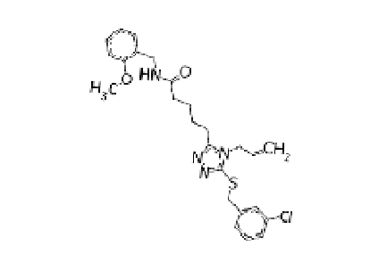 C=CCn1c(CCCCC(=O)NCc2ccccc2OC)nnc1SCc1cccc(Cl)c1